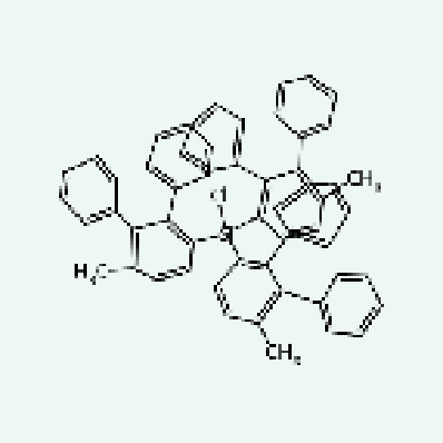 Cc1ccc([Si](Cl)(c2ccc(C)c(-c3ccccc3)c2-c2ccccc2)c2ccc(C)c(-c3ccccc3)c2-c2ccccc2)c(-c2ccccc2)c1-c1ccccc1